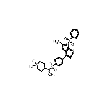 Cc1cc2c(-c3ccc(S(=O)(=O)N(C)C4CCS(O)(O)CC4)cc3)ccnc2n1S(=O)(=O)c1ccccc1